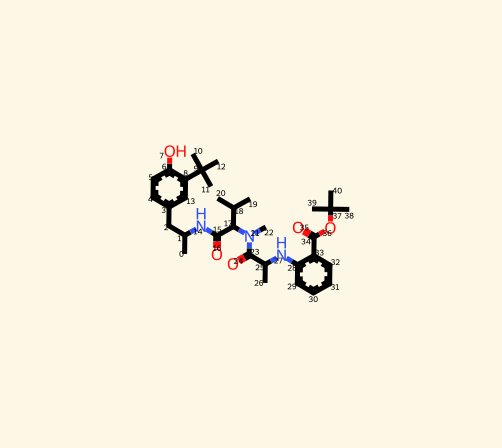 CC(Cc1ccc(O)c(C(C)(C)C)c1)NC(=O)C(C(C)C)N(C)C(=O)C(C)Nc1ccccc1C(=O)OC(C)(C)C